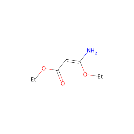 CCOC(=O)/C=C(/N)OCC